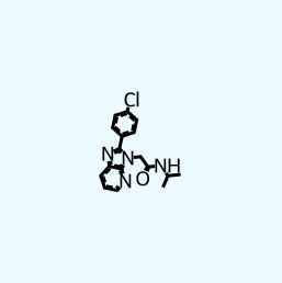 CC(C)NC(=O)Cn1c(-c2ccc(Cl)cc2)nc2cccnc21